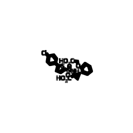 O=C(O)COc1ccccc1[C@@H]1CC1(NS(=O)(=O)c1ccc(-c2ccc(Cl)cc2)s1)C(=O)O